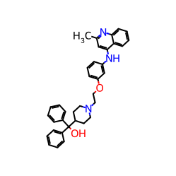 Cc1cc(Nc2cccc(OCCN3CCC(C(O)(c4ccccc4)c4ccccc4)CC3)c2)c2ccccc2n1